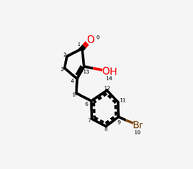 O=C1CCC(Cc2ccc(Br)cc2)=C1O